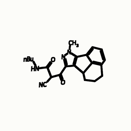 CCCCNC(=O)C(C#N)C(=O)c1nn(C)c2c1C1CCCc3cccc-2c31